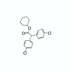 O=C(OC1CCCCC1)C(c1ccc(Cl)cc1)c1ccc(Cl)cc1